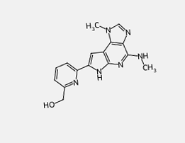 CNc1nc2[nH]c(-c3cccc(CO)n3)cc2c2c1ncn2C